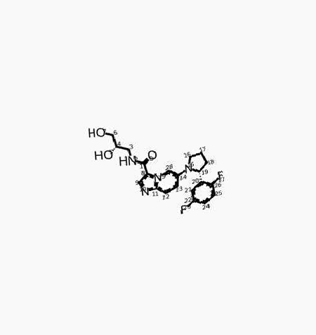 O=C(NC[C@H](O)CO)c1cnc2ccc(N3CCC[C@@H]3c3cc(F)ccc3F)cn12